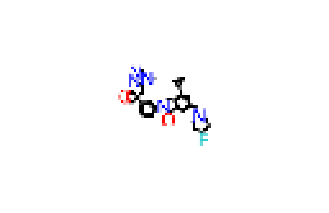 Cn1cnnc1CC1(c2cccc(N3Cc4c(cc(CN5CCC(F)CC5)cc4C4CC4)C3=O)c2)COC1